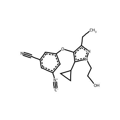 [C-]#[N+]c1cc(C#N)cc(Oc2c(CC)nn(CCO)c2C2CC2)c1